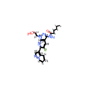 CCCCCC(=O)Nc1nn(CCO)c2nc(-c3cnn4ccccc34)c(F)cc12